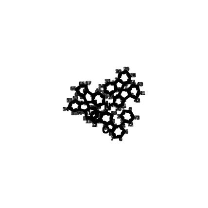 c1ccc(-c2cccc3oc4c5ccccc5c(N(c5ccc6c(c5)C5(c7ccccc7-c7ccccc75)c5ccccc5-6)c5ccc6c(c5)C5(c7ccccc7-c7ccccc75)c5ccccc5-6)cc4c23)cc1